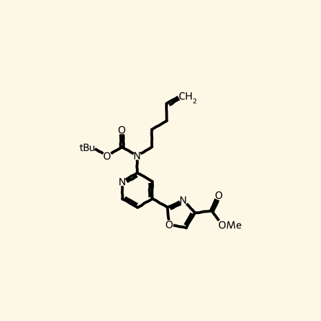 C=CCCCN(C(=O)OC(C)(C)C)c1cc(-c2nc(C(=O)OC)co2)ccn1